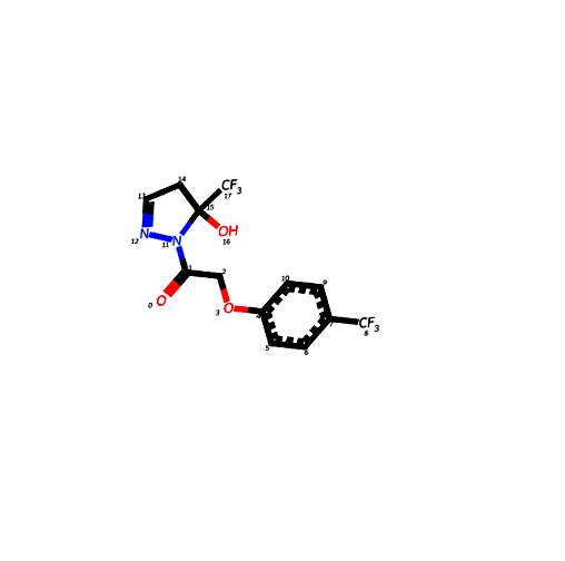 O=C(COc1ccc(C(F)(F)F)cc1)N1N=CCC1(O)C(F)(F)F